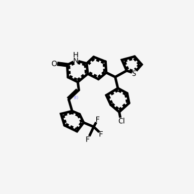 O=c1cc(/C=C/c2cccc(C(F)(F)F)c2)c2cc(C(c3ccc(Cl)cc3)c3cccs3)ccc2[nH]1